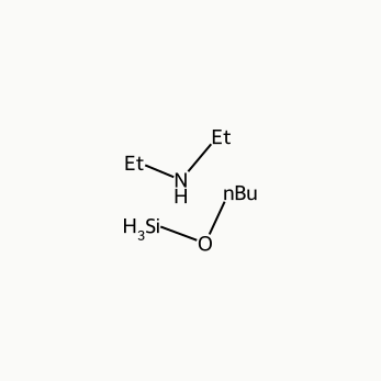 CCCCO[SiH3].CCNCC